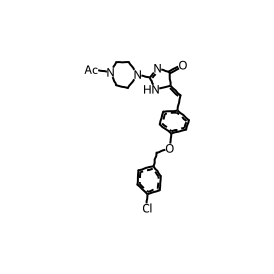 CC(=O)N1CCN(C2=NC(=O)C(=Cc3ccc(OCc4ccc(Cl)cc4)cc3)N2)CC1